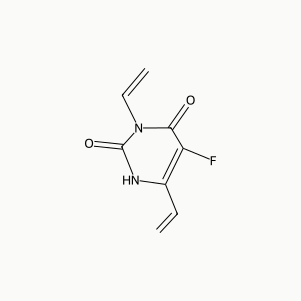 C=Cc1[nH]c(=O)n(C=C)c(=O)c1F